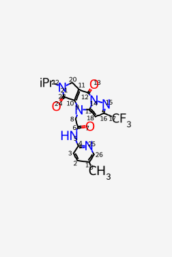 Cc1ccc(NC(=O)Cn2c3c(c(=O)n4nc(C(F)(F)F)cc24)CN(C(C)C)C3=O)nc1